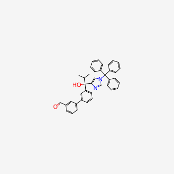 CC(C)C(O)(c1cccc(-c2cccc(C=O)c2)c1)c1cn(C(c2ccccc2)(c2ccccc2)c2ccccc2)cn1